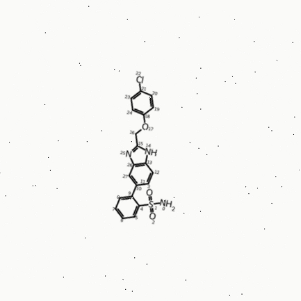 NS(=O)(=O)c1ccccc1-c1ccc2[nH]c(COc3ccc(Cl)cc3)nc2c1